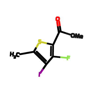 COC(=O)c1sc(C)c(I)c1F